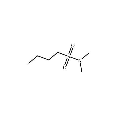 [CH2]CCCS(=O)(=O)N(C)C